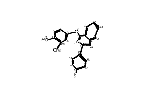 Oc1ccc(Oc2nc(-c3ccc(F)cc3)cc3ccccc23)cc1Cl